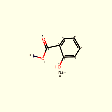 O=C(OI)c1ccccc1O.[NaH]